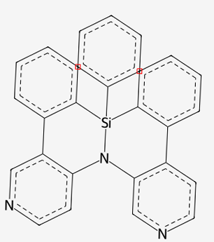 c1ccc([Si]23c4ccccc4-c4cnccc4N2c2cnccc2-c2ccccc23)cc1